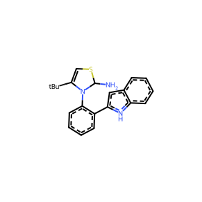 CC(C)(C)C1=CSC(N)N1c1ccccc1-c1cc2ccccc2[nH]1